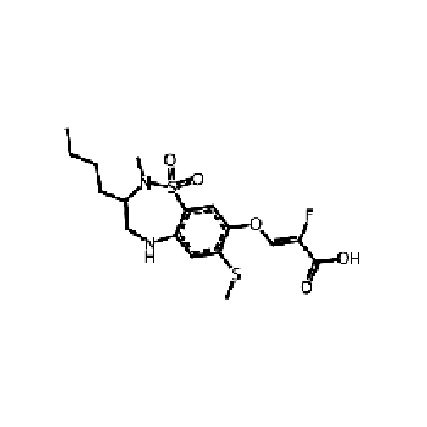 CCCCC1CNc2cc(SC)c(O/C=C(\F)C(=O)O)cc2S(=O)(=O)N1C